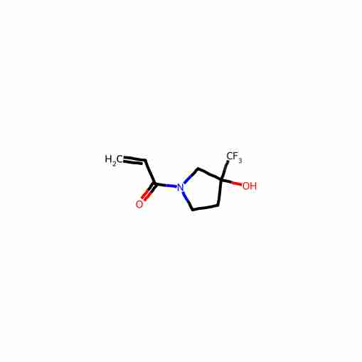 C=CC(=O)N1CCC(O)(C(F)(F)F)C1